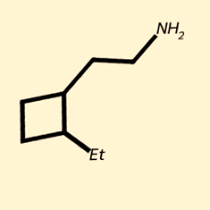 CCC1CCC1CCN